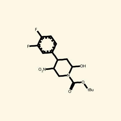 CC(C)(C)OC(=O)N1CC([N+](=O)[O-])C(c2ccc(F)c(F)c2)CC1O